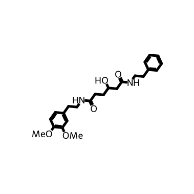 COc1ccc(CCNC(=O)CCC(O)CC(=O)NCCc2ccccc2)cc1OC